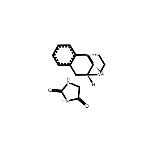 O=C1CNC(=O)N1.c1ccc2c(c1)C[C@H]1NCC[C@@]23CCCC[C@@H]13